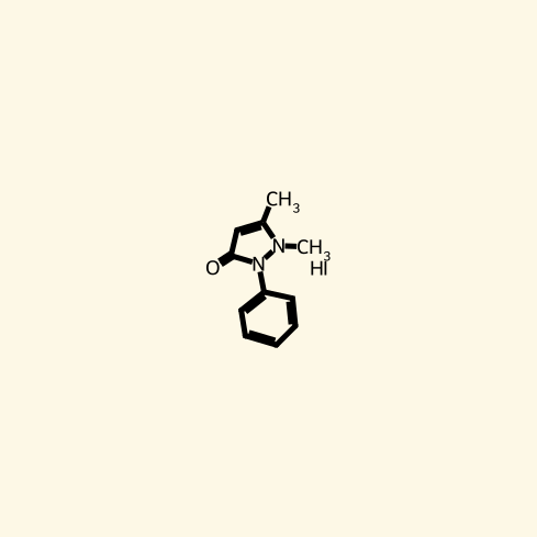 Cc1cc(=O)n(-c2ccccc2)n1C.I